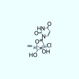 C#C[C@]12O[C@@H](n3ccc(=O)[nH]c3=O)[C@H](Cl)[C@@]1(O)C2O